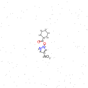 O=C(On1cc([N+](=O)[O-])cn1)C1CCCCC1